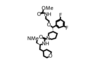 CNC[C@H](CC1CCOCC1)NC(=O)N1CCC[C@@H](C(OCCNC(=O)OC)c2cc(F)cc(F)c2)C1